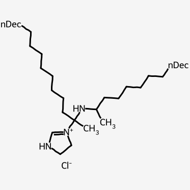 CCCCCCCCCCCCCCCCCCC(C)(NC(C)CCCCCCCCCCCCCCCC)[N+]1=CNCC1.[Cl-]